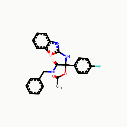 O=C(OC(Nc1nc2ccccc2o1)(C(=O)NCc1ccccc1)c1ccc(F)cc1)C(F)(F)F